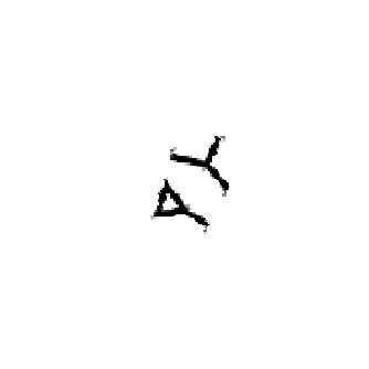 CC(C)C.CC1CC1